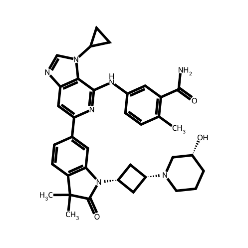 Cc1ccc(Nc2nc(-c3ccc4c(c3)N([C@H]3C[C@@H](N5CCC[C@@H](O)C5)C3)C(=O)C4(C)C)cc3ncn(C4CC4)c23)cc1C(N)=O